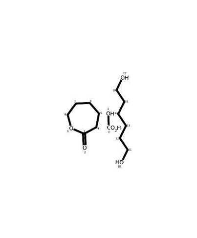 O=C(O)O.O=C1CCCCCO1.OCCCCCCO